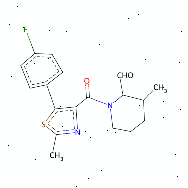 Cc1nc(C(=O)N2CCCC(C)C2C=O)c(-c2ccc(F)cc2)s1